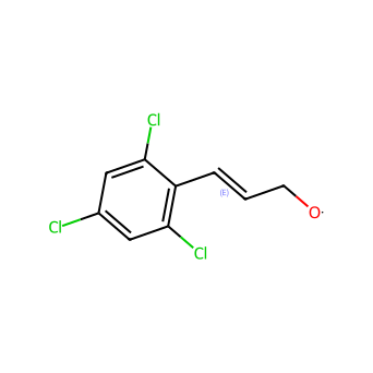 [O]C/C=C/c1c(Cl)cc(Cl)cc1Cl